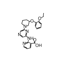 CCOc1ccccc1OC1CCCN(c2cncc(Nc3ncccc3C(=O)O)n2)C1